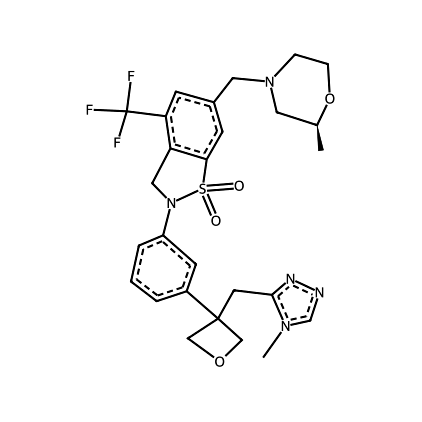 C[C@H]1CN(Cc2cc(C(F)(F)F)c3c(c2)S(=O)(=O)N(c2cccc(C4(Cc5nncn5C)COC4)c2)C3)CCO1